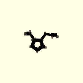 CCCCn1ccnc1CN